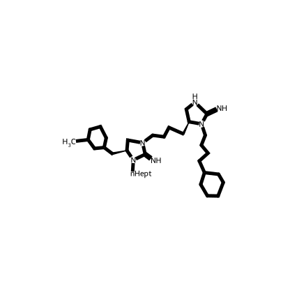 CCCCCCCN1C(=N)N(CCCC[C@H]2CNC(=N)N2CCCCC2CCCCC2)C[C@@H]1CC1CCCC(C)C1